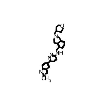 Cn1cc2cc(-c3ccc(NCc4cccc5c4CCN(CC4CCOCC4)C5)nn3)ccc2n1